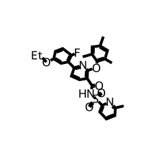 CCOc1ccc(F)c(-c2ccc(C(=O)NS(=O)(=O)c3cccc(C)n3)c(Oc3c(C)cc(C)cc3C)n2)c1